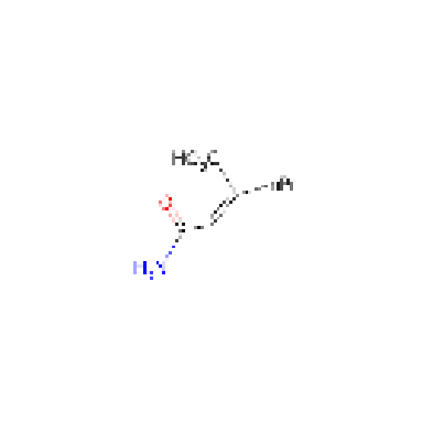 CCC/C(=C/C(N)=O)C(=O)O